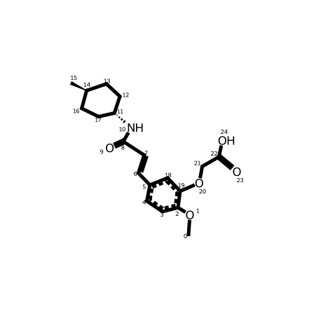 COc1ccc(/C=C/C(=O)N[C@H]2CC[C@H](C)CC2)cc1OCC(=O)O